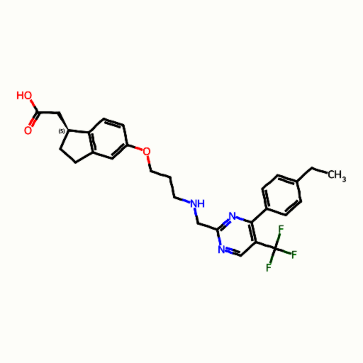 CCc1ccc(-c2nc(CNCCCOc3ccc4c(c3)CC[C@H]4CC(=O)O)ncc2C(F)(F)F)cc1